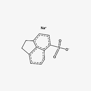 O=S(=O)([O-])c1ccc2c3c(cccc13)CC2.[Na+]